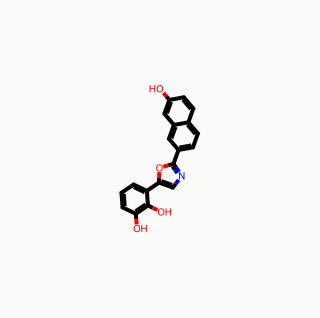 Oc1ccc2ccc(-c3ncc(-c4cccc(O)c4O)o3)cc2c1